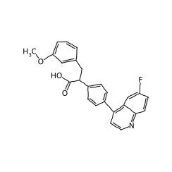 COc1cccc(CC(C(=O)O)c2ccc(-c3ccnc4ccc(F)cc34)cc2)c1